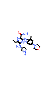 CCc1nc(C(N)=O)c(Nc2ccc(N3CCOCC3)cc2C)nc1N[C@@H]1CCNC1